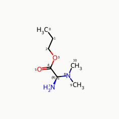 CCCOC(=O)[C@H](N)N(C)C